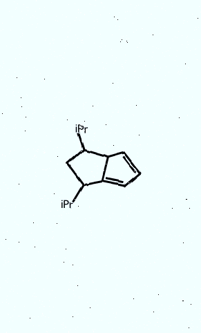 CC(C)C1CC(C(C)C)C2C=CC=C21